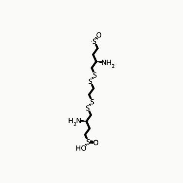 N[C@H](CC[S]=O)CSSCCSSC[C@H](N)CCS(=O)O